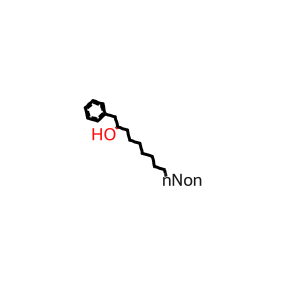 CCCCCCCCCCCCCCCCC(O)Cc1ccccc1